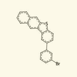 Brc1cccc(-c2ccc3sc4cc5ccccc5cc4c3c2)c1